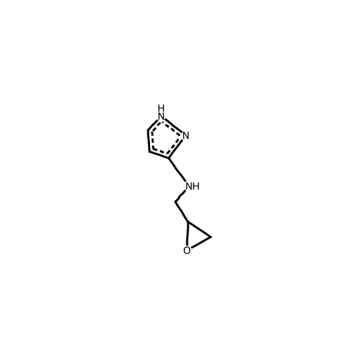 c1cc(NCC2CO2)n[nH]1